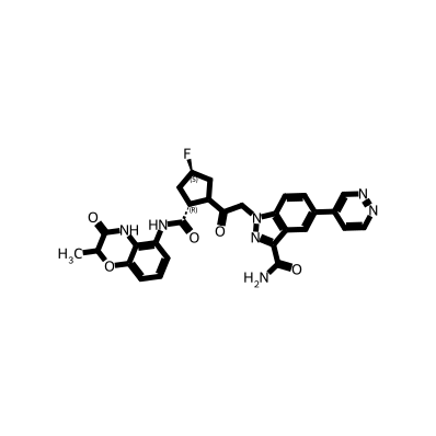 CC1Oc2cccc(NC(=O)[C@@H]3C[C@@H](F)CC3C(=O)Cn3nc(C(N)=O)c4cc(-c5ccnnc5)ccc43)c2NC1=O